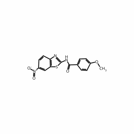 COc1ccc(C(=O)Nc2nc3ccc([N+](=O)[O-])cc3s2)cc1